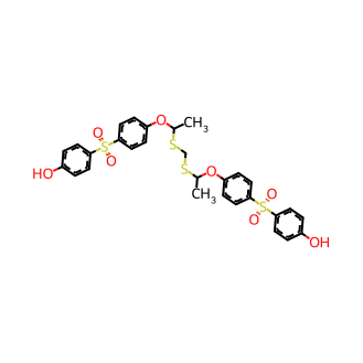 CC(Oc1ccc(S(=O)(=O)c2ccc(O)cc2)cc1)SCSC(C)Oc1ccc(S(=O)(=O)c2ccc(O)cc2)cc1